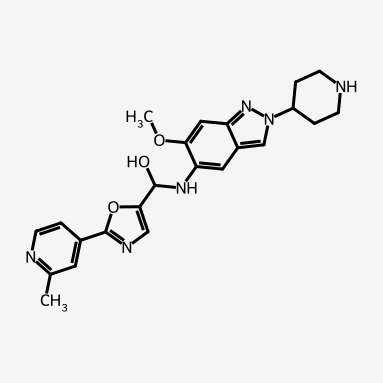 COc1cc2nn(C3CCNCC3)cc2cc1NC(O)c1cnc(-c2ccnc(C)c2)o1